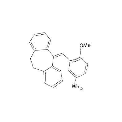 COc1ccc(N)cc1C=C1c2ccccc2CCc2ccccc21